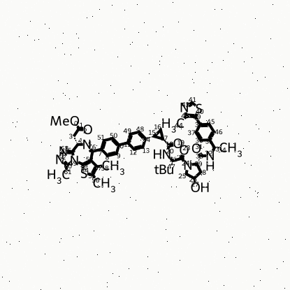 COC(=O)C[C@@H]1N=C(c2ccc(-c3ccc([C@@H]4C[C@H]4C(=O)N[C@H](C(=O)N4C[C@H](O)C[C@H]4C(=O)N[C@@H](C)c4ccc(-c5scnc5C)cc4)C(C)(C)C)cc3)cc2)c2c(sc(C)c2C)-n2c(C)nnc21